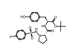 CC(C)(C)OC(=O)[C@H](Cc1ccc(O)cc1)NC(=O)[C@@H]1CCCN1NS(=O)(=O)c1ccc(F)cc1